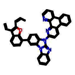 C=Cc1c(/C=C\C)oc2c(-c3ccc4c(c3)n3c5ccccc5nc3n4-c3ccc4c5ccccc5c5cccnc5c4n3)cccc12